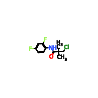 CC(C)(CCl)C(=O)Nc1ccc(F)cc1F